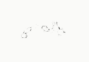 O=C1CCC(N2Cc3ccc(O[C@@H]4CCN(Cc5cnc6ccccc6c5)C4)cc3C2O)C(=O)N1